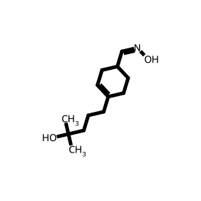 CC(C)(O)CCCC1=CCC(/C=N\O)CC1